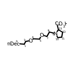 CCCCCCCCCCCCOCCOCCN1CCCC1C(=O)O